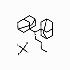 CCCC[PH+](C12CC3CC(CC(C3)C1)C2)C12CC3CC(CC(C3)C1)C2.F[B-](F)(F)F